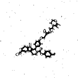 O=C(COc1ccc(C2c3[nH]c4ccc(Cl)cc4c3CCN2C(=O)Oc2ccc(F)cc2)cc1)NCCN1CCOCC1